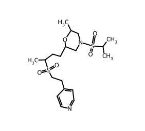 CC1CN(S(=O)(=O)C(C)C)CC(CCC(C)S(=O)(=O)CCc2ccncc2)O1